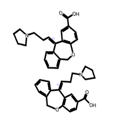 O=C(O)c1ccc2c(c1)/C(=C/CCN1CCCC1)c1ccccc1CO2.O=C(O)c1ccc2c(c1)/C(=C\CCN1CCCC1)c1ccccc1CO2